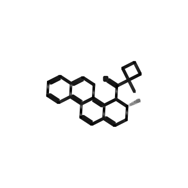 C[C@@H]1CC=c2ccc3c(c2C1C(=O)C1(C)CCC1)CC=c1ccccc1=3